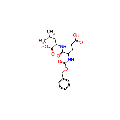 CC(C)CC(NC(=O)C(CCC(=O)O)NC(=O)OCc1ccccc1)C(=O)O